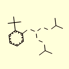 CC(C)OOB(OOC(C)C)Oc1ccccc1C(F)(F)F